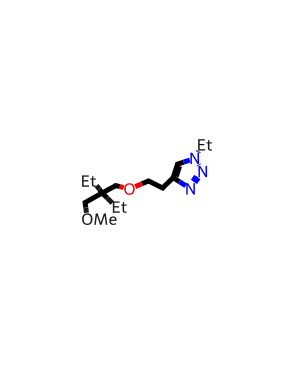 CCn1cc(CCOCC(CC)(CC)COC)nn1